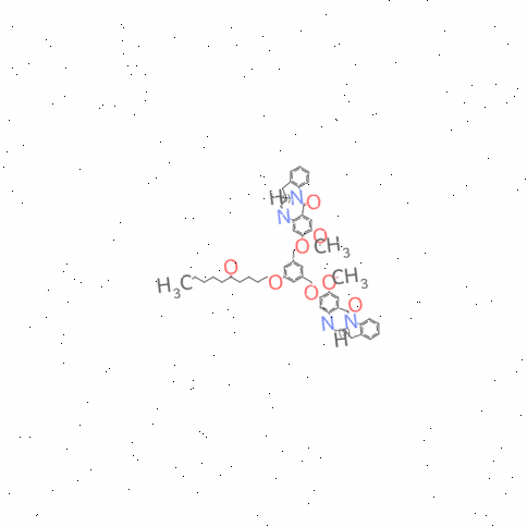 CCCCCC(=O)CCCCOc1cc(COc2cc3c(cc2OC)C(=O)N2c4ccccc4C[C@H]2C=N3)cc(COc2cc3c(cc2OC)C(=O)N2c4ccccc4C[C@H]2C=N3)c1